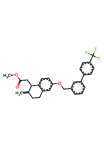 C=C1CCc2cc(OCc3cccc(-c4ccc(C(F)(F)F)cc4)c3)ccc2C1CC(=O)OC